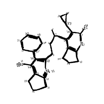 CCc1nc2c(c(C(C)CCc3nc4c(c(C(C)(C)C)c3-c3ccccc3)CCC4)c1C1CC1)CCC2